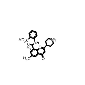 Cc1cc(C(C)Nc2ccccc2C(=O)O)c2oc(C3CCNCC3)cc(=O)c2c1